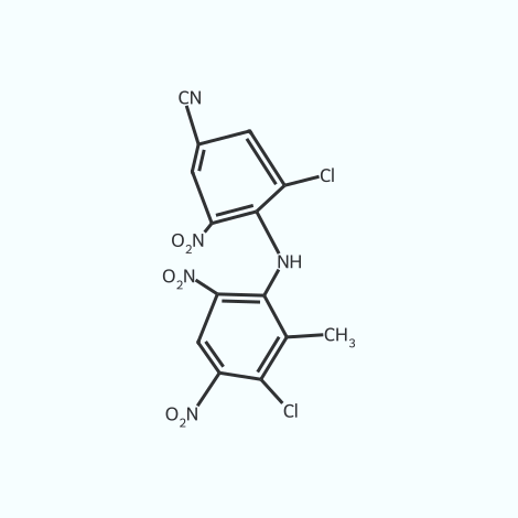 Cc1c(Cl)c([N+](=O)[O-])cc([N+](=O)[O-])c1Nc1c(Cl)cc(C#N)cc1[N+](=O)[O-]